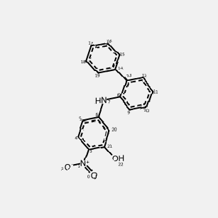 O=[N+]([O-])c1ccc(Nc2ccccc2-c2ccccc2)cc1O